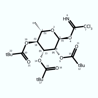 C[C@@H]1O[C@@H](OC(=N)C(Cl)(Cl)Cl)[C@H](OC(=O)C(C)(C)C)[C@H](OC(=O)C(C)(C)C)[C@H]1OC(=O)C(C)(C)C